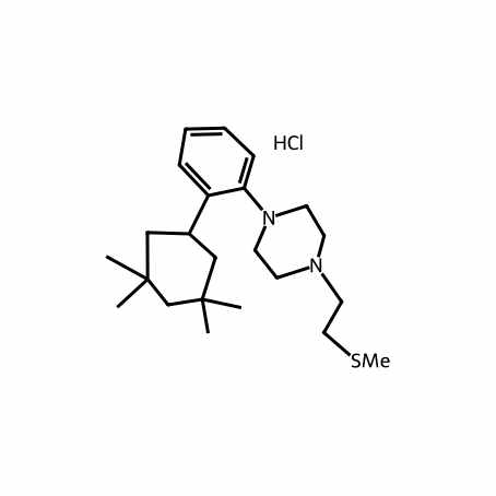 CSCCN1CCN(c2ccccc2C2CC(C)(C)CC(C)(C)C2)CC1.Cl